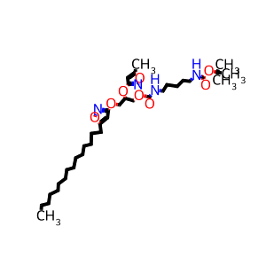 CCCCCCCCCCCCCCCc1cc(OCC(COC(=O)NCCCCCNC(=O)OC(C)(C)C)Oc2cc(C)on2)no1